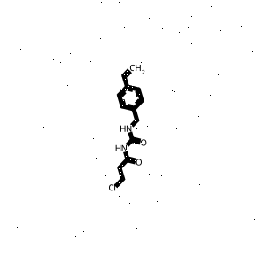 C=Cc1ccc(CNC(=O)NC(=O)CCCl)cc1